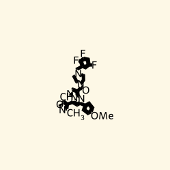 COc1ccc(-c2cc(-c3c(C)noc3C)n3ncc(C(=O)N4CCN(Cc5cc(F)cc(F)c5F)CC4)c3n2)cc1